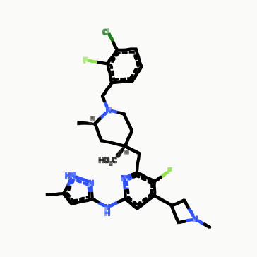 Cc1cc(Nc2cc(C3CN(C)C3)c(F)c(C[C@@]3(C(=O)O)CCN(Cc4cccc(Cl)c4F)[C@H](C)C3)n2)n[nH]1